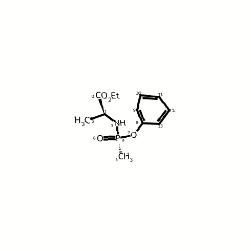 CCOC(=O)[C@H](C)N[P@](C)(=O)Oc1ccccc1